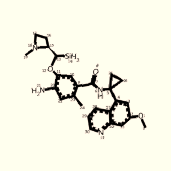 COc1cc(C2(NC(=O)c3cc(OC([SiH3])[C@@H]4CCN4C)c(N)cc3C)CC2)c2cccnc2c1